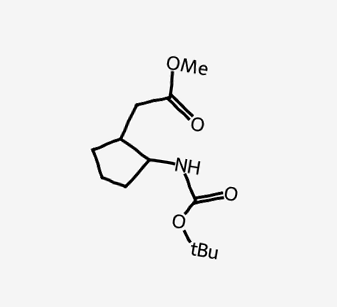 COC(=O)CC1CCCC1NC(=O)OC(C)(C)C